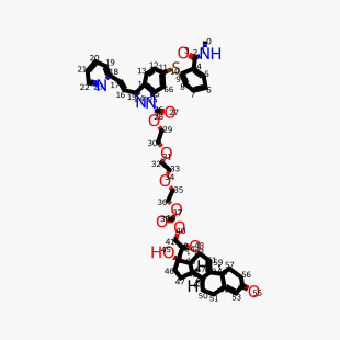 CNC(=O)c1ccccc1Sc1ccc2c(/C=C/c3ccccn3)nn(C(=O)OCCOCCOCCOC(=O)OCC(=O)[C@@]3(O)CC[C@H]4[C@@H]5CCC6=CC(=O)CC[C@]6(C)C5=CC[C@@]43C)c2c1